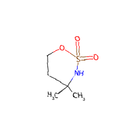 CC1(C)CCOS(=O)(=O)N1